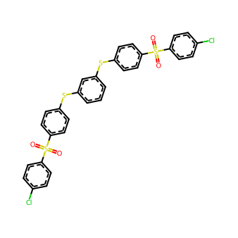 O=S(=O)(c1ccc(Cl)cc1)c1ccc(Sc2cccc(Sc3ccc(S(=O)(=O)c4ccc(Cl)cc4)cc3)c2)cc1